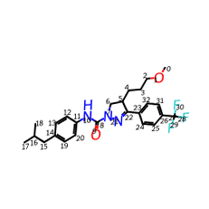 COCCCC1CN(C(=O)Nc2ccc(CC(C)C)cc2)N=C1c1ccc(C(F)(F)F)cc1